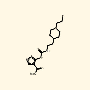 COC(=O)c1cnsc1NC(=O)NCCC1CCN(CCF)CC1